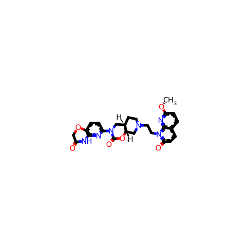 COc1ccc2ccc(=O)n(CCN3CC[C@@H]4CN(c5ccc6c(n5)NC(=O)CO6)C(=O)O[C@H]4C3)c2n1